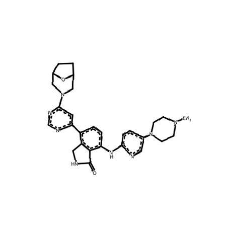 CN1CCN(c2ccc(Nc3ccc(-c4cc(N5CC6CCC(C5)O6)ncn4)c4c3C(=O)NC4)nc2)CC1